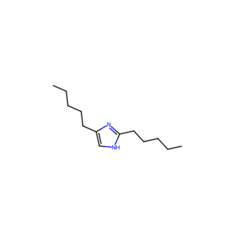 CCCCCc1c[nH]c(CCCCC)n1